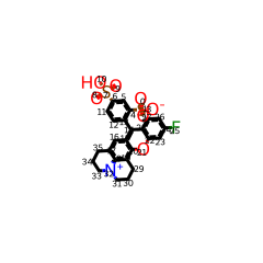 O=S(=O)([O-])c1cc(S(=O)(=O)O)ccc1C1=c2cc3c4c(c2Oc2cc(F)ccc21)CCC[N+]=4CCC3